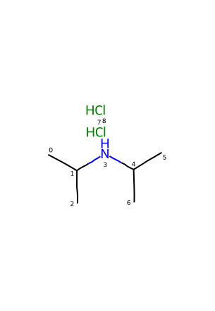 CC(C)NC(C)C.Cl.Cl